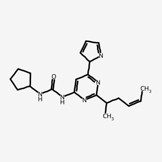 C/C=C\CC(C)c1nc(NC(=O)NC2CCCC2)cc(C2C=CC=N2)n1